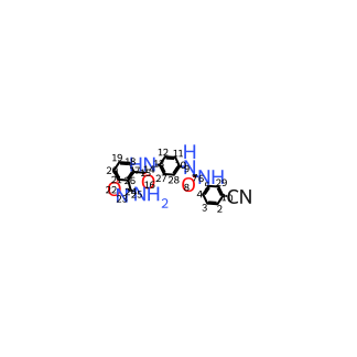 N#Cc1cccc(NC(=O)Nc2ccc(NC(=O)c3cccc4onc(N)c34)cc2)c1